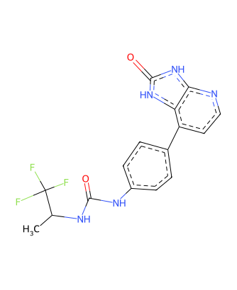 CC(NC(=O)Nc1ccc(-c2ccnc3[nH]c(=O)[nH]c23)cc1)C(F)(F)F